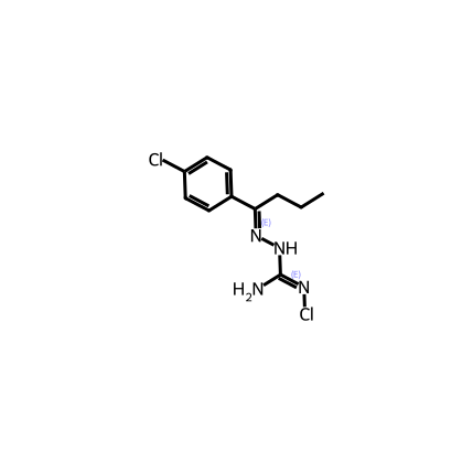 CCC/C(=N\N/C(N)=N/Cl)c1ccc(Cl)cc1